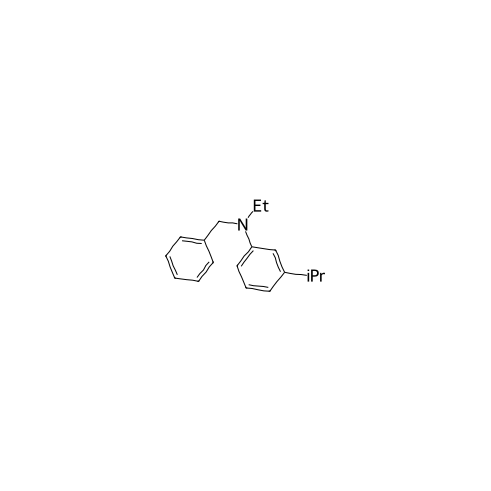 CCN(Cc1ccccc1)c1cccc(C(C)C)c1